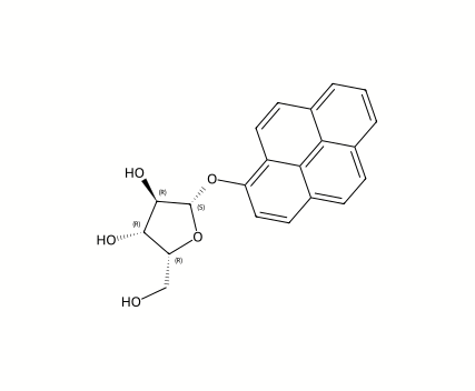 OC[C@H]1O[C@@H](Oc2ccc3ccc4cccc5ccc2c3c45)[C@H](O)[C@H]1O